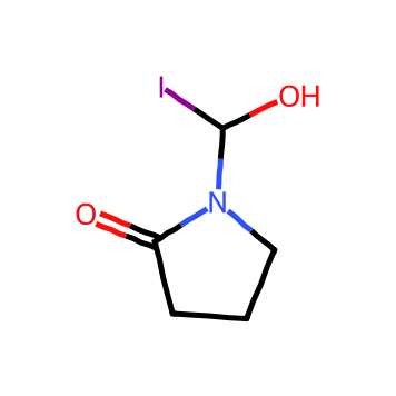 O=C1CCCN1C(O)I